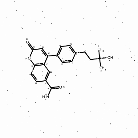 CC(C)(O)CCc1ccc(-c2cc(=O)oc3ccc(C(N)=O)cc23)cc1